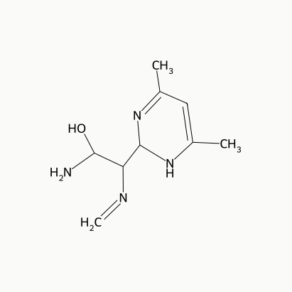 C=NC(C(N)O)C1N=C(C)C=C(C)N1